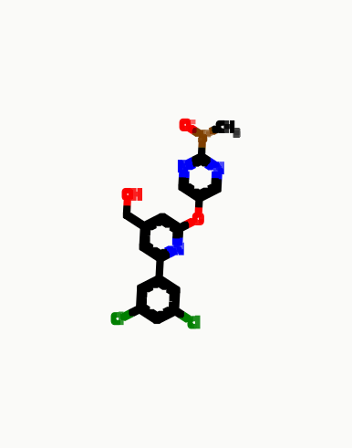 C[S+]([O-])c1ncc(Oc2cc(CO)cc(-c3cc(Cl)cc(Cl)c3)n2)cn1